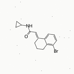 O=C(C=C1CCCc2c(Br)cccc21)NC1CC1